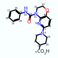 O=C(O)C1CCN(c2ccc3c(n2)N(C(=O)Nc2ccccc2)CCO3)CC1